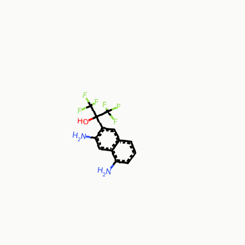 Nc1cc2c(N)cccc2cc1C(O)(C(F)(F)F)C(F)(F)F